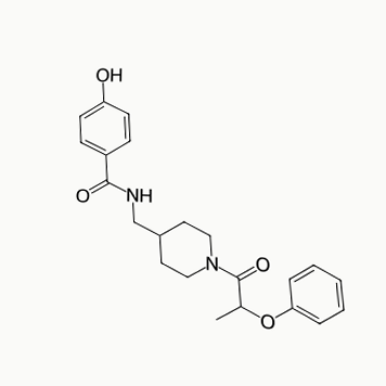 CC(Oc1ccccc1)C(=O)N1CCC(CNC(=O)c2ccc(O)cc2)CC1